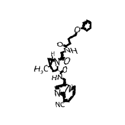 C[C@@]12C[C@@H]1N(C(=O)CNC(=O)CCCOc1ccccc1)[C@H](C(=O)NCc1cnc3c(C#N)cccn13)C2